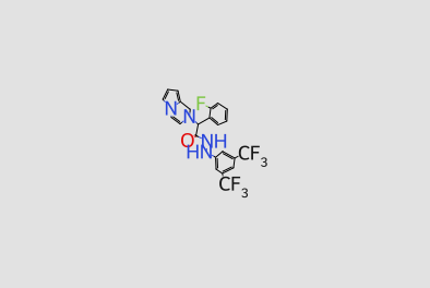 O=C(NNc1cc(C(F)(F)F)cc(C(F)(F)F)c1)C(c1ccccc1F)N1C=Cn2cccc2C1